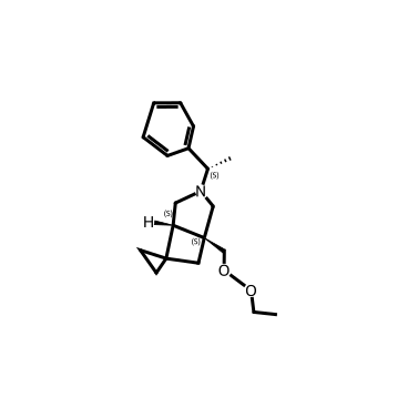 CCOOC[C@]12CN([C@@H](C)c3ccccc3)C[C@H]1C1(CC1)C2